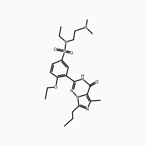 CCCc1nc(C)c2c(=O)[nH]c(-c3cc(S(=O)(=O)N(CC)CCN(C)C)ccc3OCC)nn12